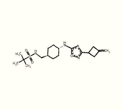 C=C1CC(c2noc(N[C@H]3CC[C@H](CNS(=O)(=O)C(C)(C)C)CC3)n2)C1